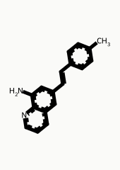 Cc1ccc(/C=C/c2cc(N)c3ncccc3c2)cc1